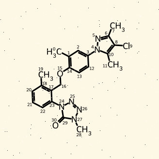 Cc1cc(-n2nc(C)c(Cl)c2C)ccc1OCc1c(C)cccc1-n1nnn(C)c1=O